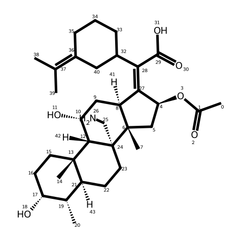 CC(=O)O[C@H]1C[C@@]2(C)[C@@H](C[C@@H](O)[C@H]3[C@@]4(C)CC[C@@H](O)[C@@H](C)[C@@H]4CC[C@@]32CN)/C1=C(/C(=O)O)C1CCCC(=C(C)C)C1